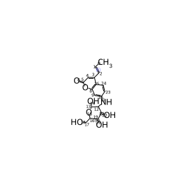 C/C=C/c1cc(=O)oc2cc(NC3C(O)OC(CO)[C@H](O)[C@H]3O)ccc12